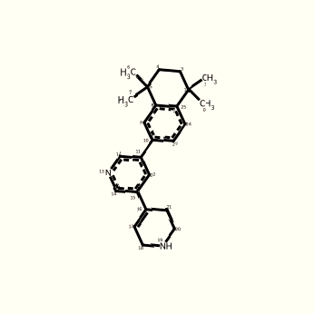 CC1(C)CCC(C)(C)c2cc(-c3cncc(C4=CCNCC4)c3)ccc21